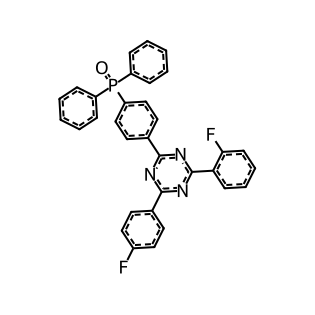 O=P(c1ccccc1)(c1ccccc1)c1ccc(-c2nc(-c3ccc(F)cc3)nc(-c3ccccc3F)n2)cc1